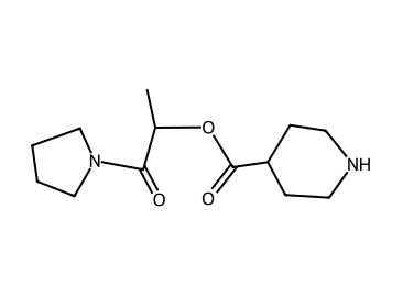 CC(OC(=O)C1CCNCC1)C(=O)N1CCCC1